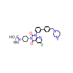 CN1CCCN(Cc2ccc(-c3cccc(-n4c(=O)n([C@H]5CC[C@@H](N(C(=O)O)C(C)(C)C)CC5)c(=O)c5cc(F)cnc54)c3)cc2)CC1